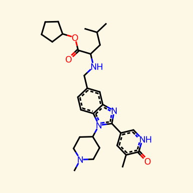 Cc1cc(-c2nc3cc(CNC(CC(C)C)C(=O)OC4CCCC4)ccc3n2C2CCN(C)CC2)c[nH]c1=O